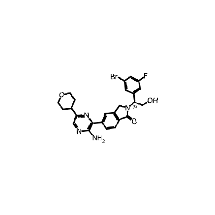 Nc1ncc(C2CCOCC2)nc1-c1ccc2c(c1)CN([C@H](CO)c1cc(F)cc(Br)c1)C2=O